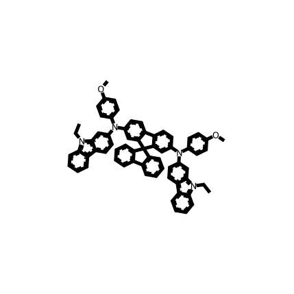 CCn1c2ccccc2c2ccc(N(c3ccc(OC)cc3)c3ccc4c(c3)C3(c5ccccc5-c5ccccc53)c3cc(N(c5ccc(OC)cc5)c5ccc6c7ccccc7n(CC)c6c5)ccc3-4)cc21